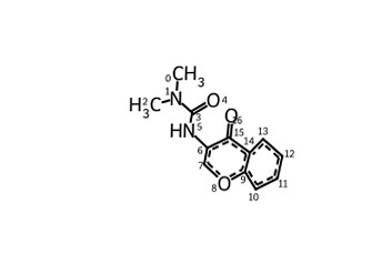 CN(C)C(=O)Nc1coc2ccccc2c1=O